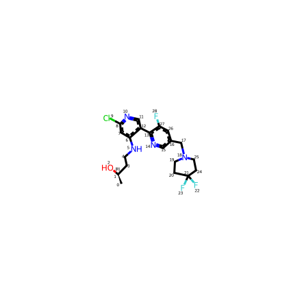 C[C@@H](O)CCNc1cc(Cl)ncc1-c1ncc(CN2CCC(F)(F)CC2)cc1F